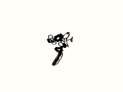 CCS(=O)(=O)c1ccc(OC)c(Nc2ncc(-c3cccc(OC)c3)o2)c1